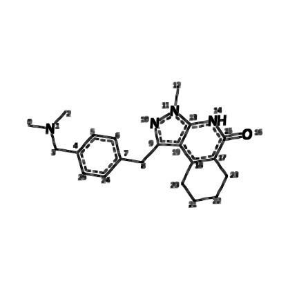 CN(C)Cc1ccc(Cc2nn(C)c3[nH]c(=O)c4c(c23)CCCC4)cc1